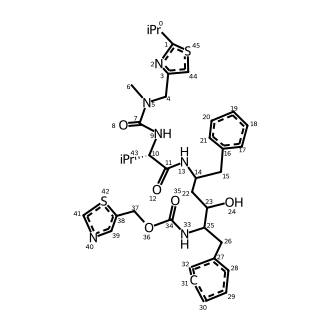 CC(C)c1nc(CN(C)C(=O)N[C@H](C(=O)NC(Cc2ccccc2)CC(O)C(Cc2ccccc2)NC(=O)OCc2cncs2)C(C)C)cs1